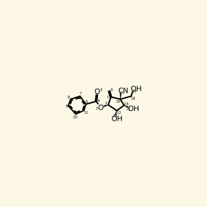 C=C1[C@H](OC(=O)c2ccccc2)[C@H](O)[C@H](O)[C@@]1(C#N)CO